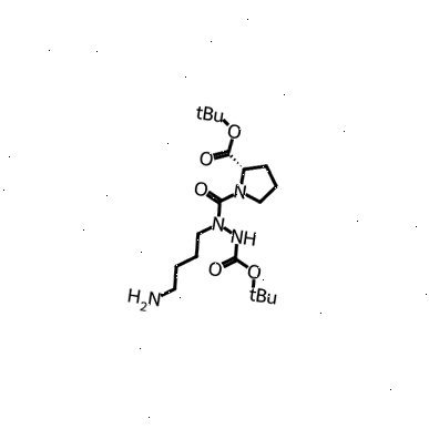 CC(C)(C)OC(=O)NN(CCCCN)C(=O)N1CCC[C@H]1C(=O)OC(C)(C)C